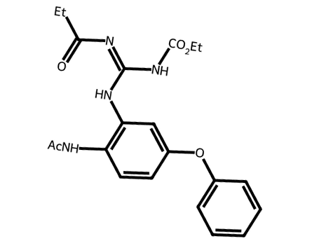 CCOC(=O)N/C(=N/C(=O)CC)Nc1cc(Oc2ccccc2)ccc1NC(C)=O